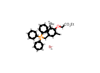 CCOC(=O)COc1c(C)cc(C[P+](c2ccccc2)(c2ccccc2)c2ccccc2)cc1C(C)(C)C.[Br-]